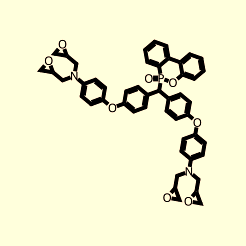 O=P1(C(c2ccc(Oc3ccc(N(CC4CO4)CC4CO4)cc3)cc2)c2ccc(Oc3ccc(N(CC4CO4)CC4CO4)cc3)cc2)Oc2ccccc2-c2ccccc21